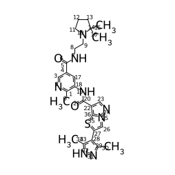 Cc1ncc(C(=O)NCCN2CCCC2(C)C)cc1NC(=O)c1cnn2cc(-c3c(C)n[nH]c3C)sc12